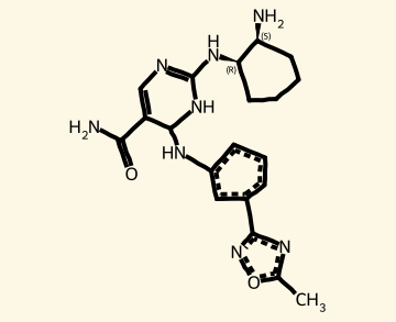 Cc1nc(-c2cccc(NC3NC(N[C@@H]4CCCC[C@@H]4N)=NC=C3C(N)=O)c2)no1